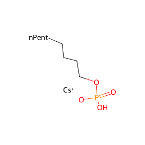 CCCCCCCCCOP(=O)([O-])O.[Cs+]